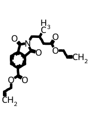 C=CCOC(=O)CC(C)CN1C(=O)c2ccc(C(=O)OCC=C)cc2C1=O